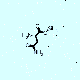 NC(=O)C[C@H](N)C(=O)O[SiH3]